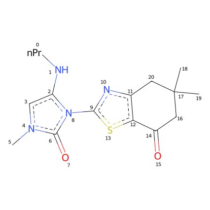 CCCNc1cn(C)c(=O)n1-c1nc2c(s1)C(=O)CC(C)(C)C2